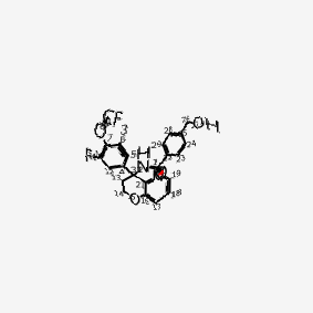 O=C(NC1(c2ccc(OC(F)(F)F)c(F)c2)CCOc2cccnc21)c1ccc(CO)cc1